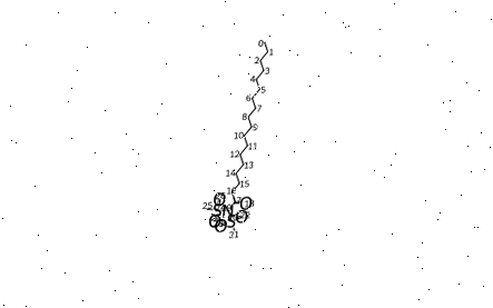 CCCCCCCCCCCCCCCCCC(=O)N(S(C)(=O)=O)S(C)(=O)=O